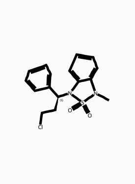 CN1c2ccccc2N([C@@H](CCCl)c2ccccc2)S1(=O)=O